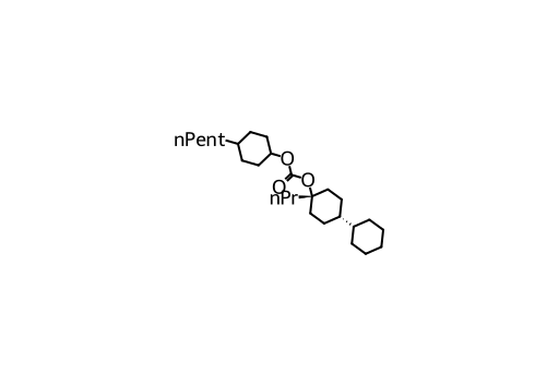 CCCCCC1CCC(OC(=O)O[C@]2(CCC)CC[C@H](C3CCCCC3)CC2)CC1